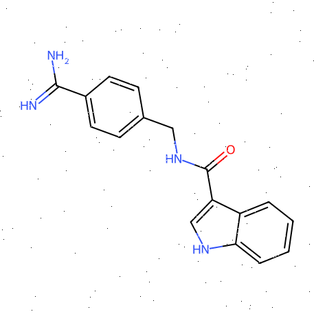 N=C(N)c1ccc(CNC(=O)c2c[nH]c3ccccc23)cc1